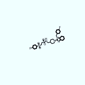 O=S(=O)(CCS(=O)(=O)c1ccc(F)cc1)NCC1CCN(c2nc3ccccc3n2Cc2ccc(F)cc2)CC1